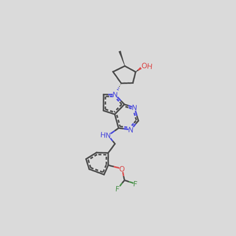 C[C@@H]1C[C@@H](n2ccc3c(NCc4ccccc4OC(F)F)ncnc32)C[C@@H]1O